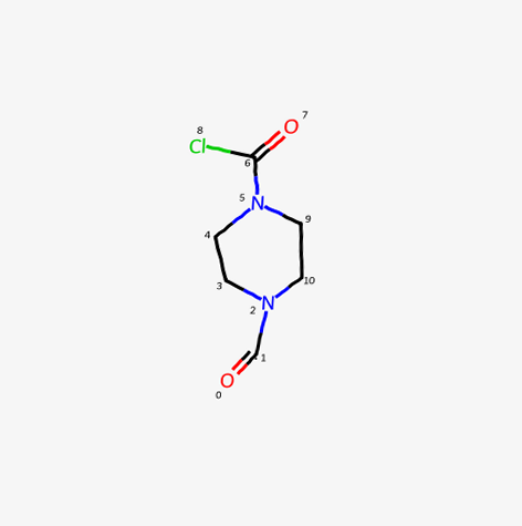 O=[C]N1CCN(C(=O)Cl)CC1